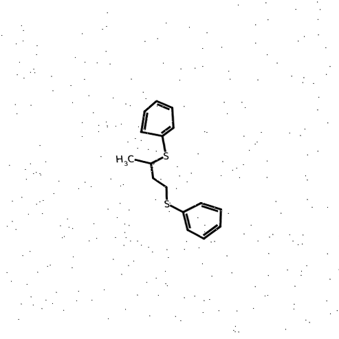 C[C](CCSc1ccccc1)Sc1ccccc1